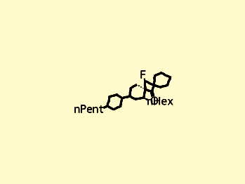 CCCCCC[C@H]1CC(C2CCC(CCCCC)CC2)CC[C@]12C(=O)C1(CCCCC1)[C@H]2F